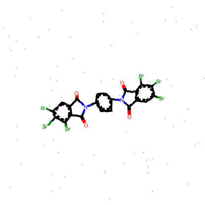 O=C1c2cc(Br)c(Br)c(Br)c2C(=O)N1c1ccc(N2C(=O)c3cc(Br)c(Br)c(Br)c3C2=O)cc1